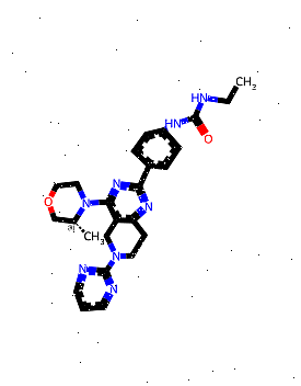 CCNC(=O)Nc1ccc(-c2nc3c(c(N4CCOC[C@H]4C)n2)CN(c2ncccn2)CC3)cc1